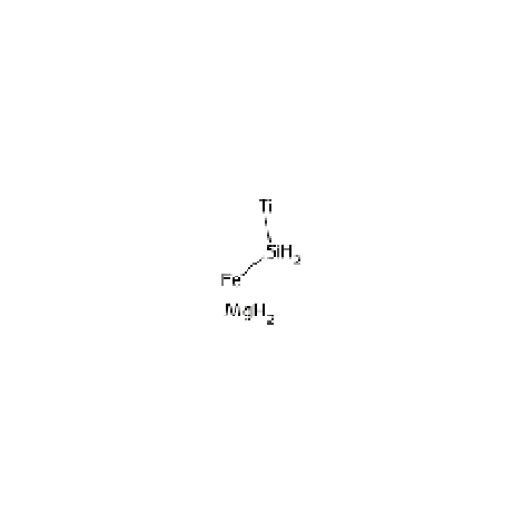 [MgH2].[Ti][SiH2][Fe]